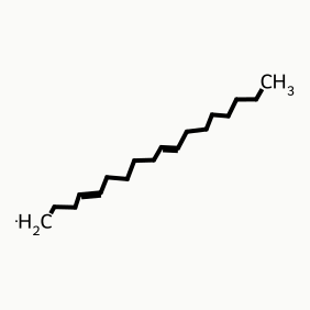 [CH2]CCC=CCCCCC=CCCCCCCC